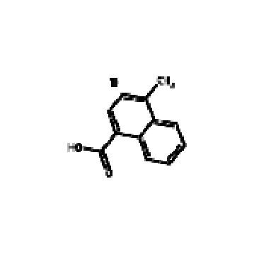 Cc1ccc(C(=O)O)c2ccccc12.[Tl]